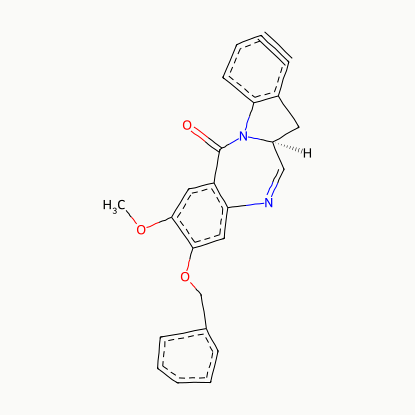 COc1cc2c(cc1OCc1ccccc1)N=C[C@@H]1Cc3c#cccc3N1C2=O